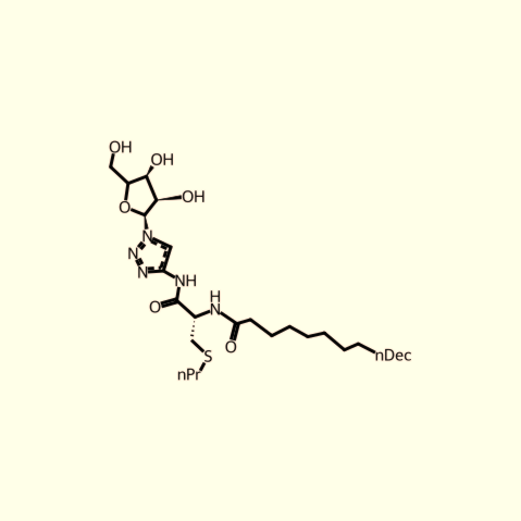 [CH2][CH]CSC[C@@H](NC(=O)CCCCCCCCCCCCCCCCC)C(=O)Nc1cn([C@H]2OC(CO)[C@@H](O)[C@H]2O)nn1